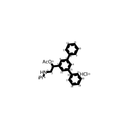 CC(=O)OC(CNC(C)C)c1cc(-c2ccccc2)cc(-c2ccccc2)c1.Cl